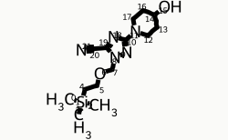 C[Si](C)(C)CCOCn1nc(N2CCC(O)CC2)nc1C#N